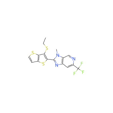 CCSc1c(-c2nc3cc(C(F)(F)F)ncc3n2C)sc2ccsc12